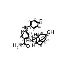 NC(=O)c1cnc(Nc2ccc(F)cc2)cc1N[C@@H]1[C@@H]2CC3C[C@H]1C[C@@](O)(C3)C2